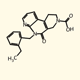 CCc1ccccc1Cn1c(=O)c2c(c3cccnc31)CCN(C(=O)O)C2